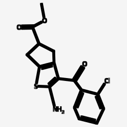 COC(=O)C1Cc2sc(N)c(C(=O)c3ccccc3Cl)c2C1